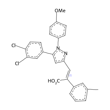 COc1ccc(-n2nc(/C=C(\C(=O)O)c3cccc(C)c3)cc2-c2ccc(Cl)c(Cl)c2)cc1